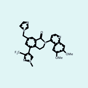 COc1cc2nccc(N3CCc4c(cc(Cn5ccnc5)cc4-c4cn(C)nc4C(F)(F)F)C3=O)c2cc1OC